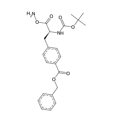 CC(C)(C)OC(=O)N[C@@H](Cc1ccc(C(=O)OCc2ccccc2)cc1)C(=O)ON